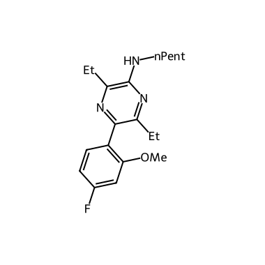 CCCCCNc1nc(CC)c(-c2ccc(F)cc2OC)nc1CC